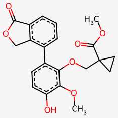 COC(=O)C1(COc2c(-c3cccc4c3COC4=O)ccc(O)c2OC)CC1